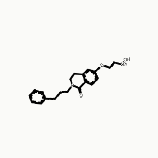 O=C1c2ccc(OCCNO)cc2CCN1CCCc1ccccc1